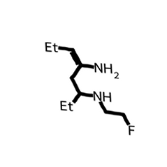 CC/C=C(/N)CC(CC)NCCF